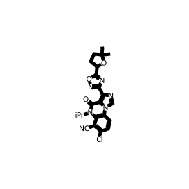 CC(C)n1c(=O)c2c(-c3noc(C4CCC(C)(C)O4)n3)ncn2c2ccc(Cl)c(C#N)c21